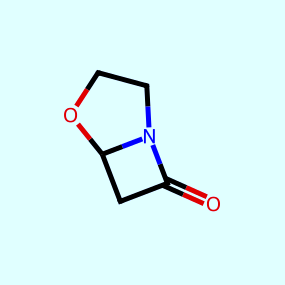 O=C1CC2OCCN12